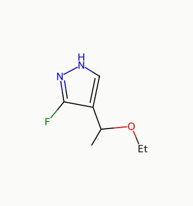 CCOC(C)c1c[nH]nc1F